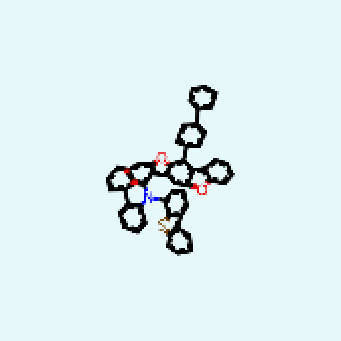 c1ccc(-c2ccc(-c3c4oc5cccc(N(c6ccccc6-c6ccccc6)c6cccc7c6sc6ccccc67)c5c4cc4oc5ccccc5c34)cc2)cc1